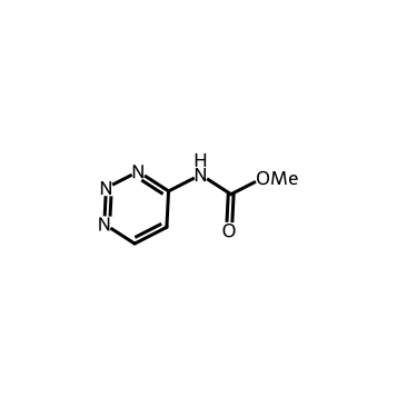 COC(=O)Nc1ccnnn1